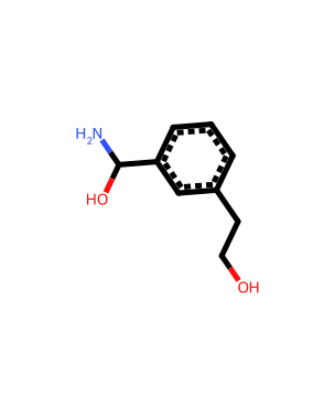 NC(O)c1cccc(CCO)c1